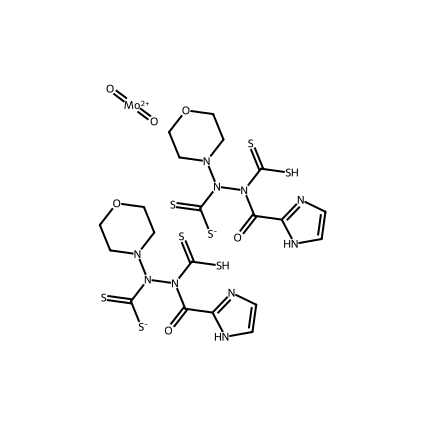 O=C(c1ncc[nH]1)N(C(=S)S)N(C(=S)[S-])N1CCOCC1.O=C(c1ncc[nH]1)N(C(=S)S)N(C(=S)[S-])N1CCOCC1.[O]=[Mo+2]=[O]